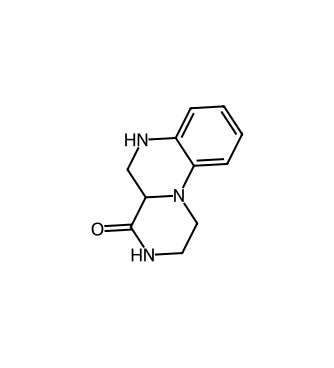 O=C1NCCN2c3ccccc3NCC12